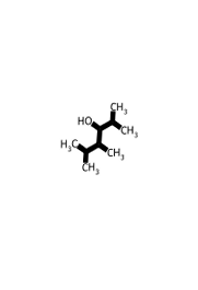 CC(C)C(C)C(O)C(C)C